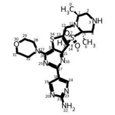 C[C@H]1CNC[C@@](C)(S(C)(=O)=O)N1Cc1cc2nc(-c3cnc(N)nc3)nc(N3CCOCC3)c2s1